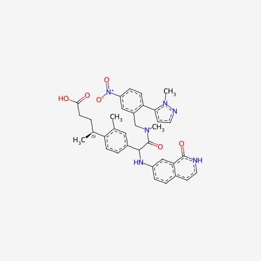 Cc1cc(C(Nc2ccc3cc[nH]c(=O)c3c2)C(=O)N(C)Cc2cc([N+](=O)[O-])ccc2-c2ccnn2C)ccc1[C@@H](C)CCC(=O)O